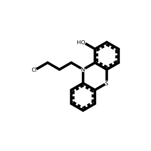 Oc1cccc2c1N(CCCCl)c1ccccc1S2